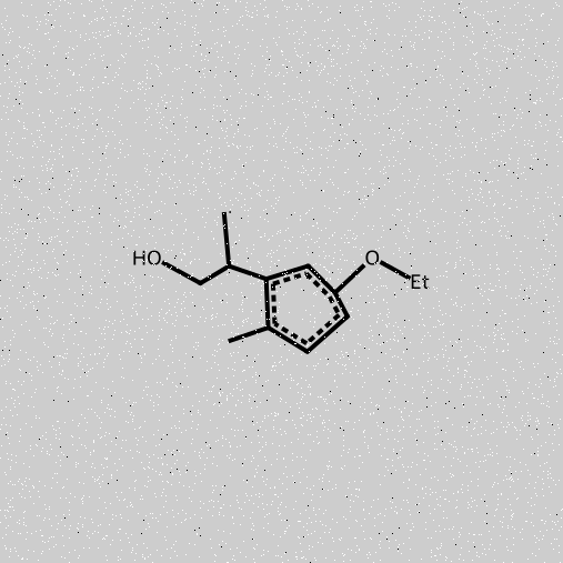 [CH2]C(CO)c1cc(OCC)ccc1C